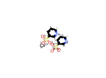 O=S(=O)([O-])c1cccnc1.O=S(=O)([O-])c1cccnc1.[Ca+2]